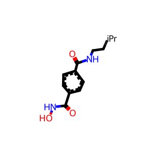 CC(C)CCNC(=O)c1ccc(C(=O)NO)cc1